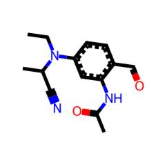 CCN(c1ccc(C=O)c(NC(C)=O)c1)C(C)C#N